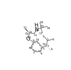 CC(C)[C@H](C)c1cccc(O[C@@H](C)CNC(C)(C)C)c1